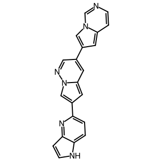 c1cc2cc(-c3cnn4cc(-c5ccc6[nH]ccc6n5)cc4c3)cn2cn1